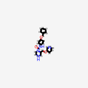 O=C(Nc1ccc(OCc2ccccc2)cc1)N1CCNCC1COc1cccnc1